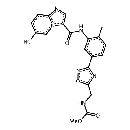 COC(=O)NCc1nc(-c2ccc(C)c(NC(=O)c3cnc4ccc(C#N)cn34)c2)no1